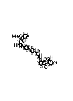 COc1cccc(F)c1-c1ncc2[nH]nc(-c3ccc(N4CCN(C(=O)CCCNc5cccc6c5C(=O)N(C5CCC(=O)NC5=O)C6=O)CC4)cc3)c2n1